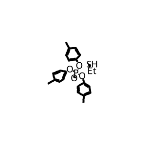 CCS.Cc1ccc(OP(=O)(Oc2ccc(C)cc2)Oc2ccc(C)cc2)cc1